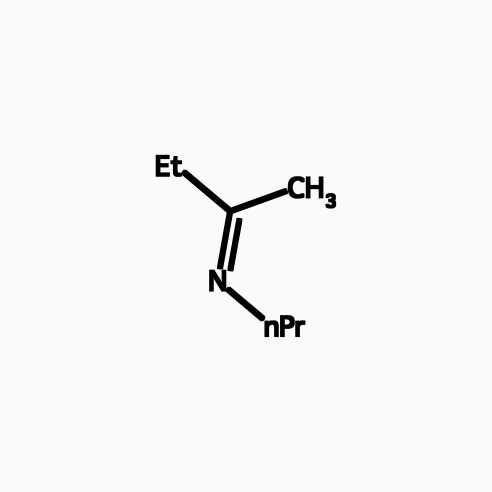 CCCN=C(C)CC